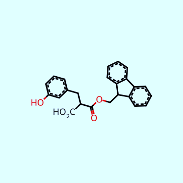 O=C(O)C(Cc1cccc(O)c1)C(=O)OCC1c2ccccc2-c2ccccc21